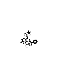 CC[C@@H](C)C[C@@H](CC(=O)OC(C)(C)C)C(=O)N1C(=O)OC(c2ccccc2)C1C